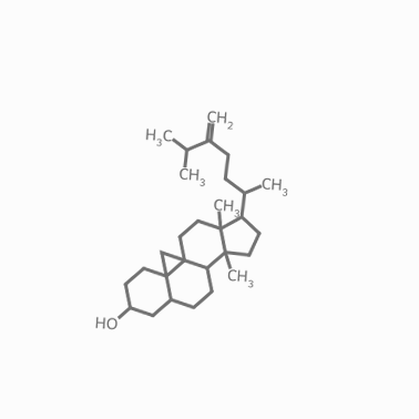 C=C(CCC(C)C1CCC2(C)C3CCC4CC(O)CCC45CC35CCC12C)C(C)C